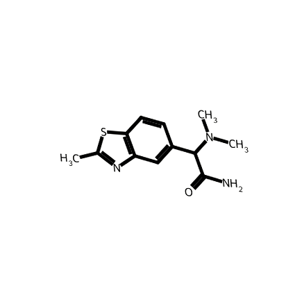 Cc1nc2cc(C(C(N)=O)N(C)C)ccc2s1